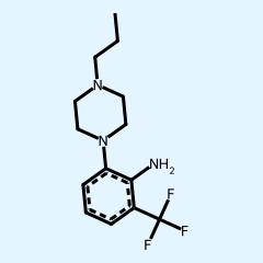 CCCN1CCN(c2cccc(C(F)(F)F)c2N)CC1